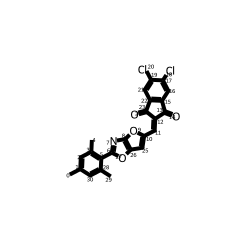 Cc1cc(C)c(-c2nc3oc(C=C4C(=O)c5cc(Cl)c(Cl)cc5C4=O)cc3o2)c(C)c1